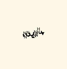 CC1(CNc2ncc3c(-c4cnc5nccnc5c4)ccn3n2)CC1